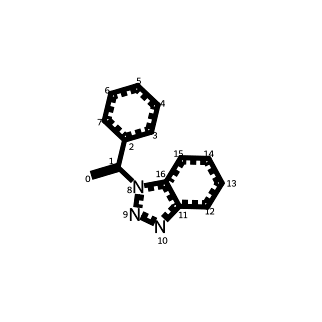 C=C(c1ccccc1)n1nnc2ccccc21